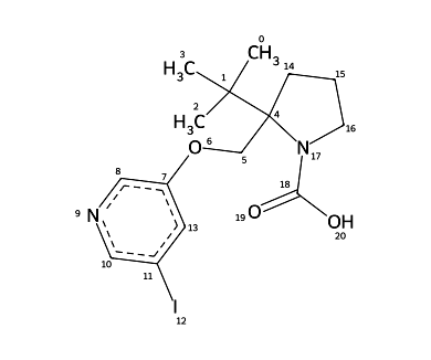 CC(C)(C)C1(COc2cncc(I)c2)CCCN1C(=O)O